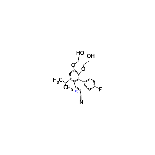 CC(C)c1cc(OCCO)c(OCCO)c(-c2ccc(F)cc2)c1/C=C/C#N